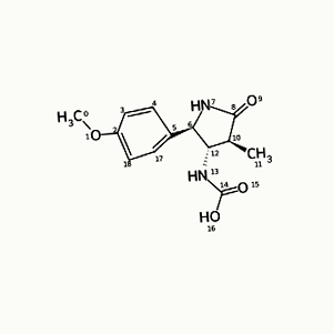 COc1ccc([C@H]2NC(=O)[C@@H](C)[C@@H]2NC(=O)O)cc1